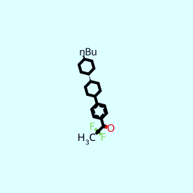 CCCC[C@H]1CC[C@H](C2CCC(c3ccc(C(=O)C(C)(F)F)cc3)CC2)CC1